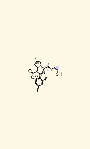 COC(=O)C1=C2C[C@H](C)CN2C(/C(C)=N/C=C\S)=N[C@H]1c1ccc(F)cc1F